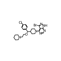 Clc1ccc([C@H](OCCN2CCCCC2)C2CCN(c3ncnc4[nH]nc(Br)c34)CC2)cc1